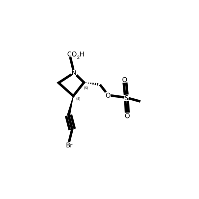 CS(=O)(=O)OC[C@@H]1[C@@H](C#CBr)CN1C(=O)O